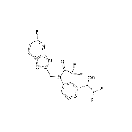 O=C1N(Cc2nc3cc(F)ccc3o2)c2cccc(C(O)C(F)F)c2C1(F)F